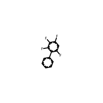 Fc1cc(F)c(-c2ccccc2)c(F)c1F